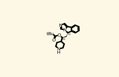 CC(C)(C)C(=O)O[C@@H](C[C@H]1c2ccccc2-c2cncn21)C1CCNCC1